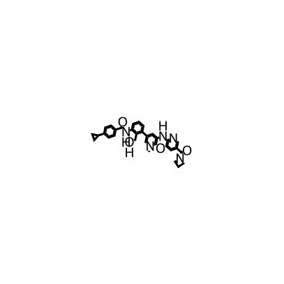 Cn1cc(-c2cccc(NC(=O)c3ccc(C4CC4)cc3)c2CO)cc(Nc2ccc(C(=O)N3CCC3)cn2)c1=O